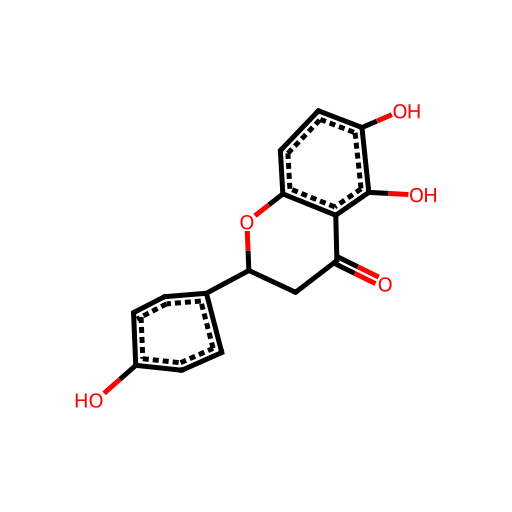 O=C1CC(c2ccc(O)cc2)Oc2ccc(O)c(O)c21